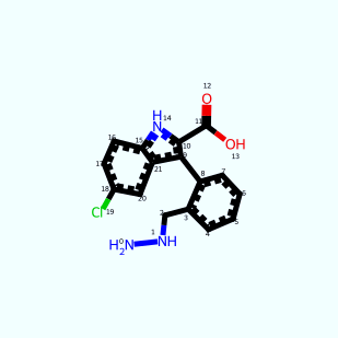 NNCc1ccccc1-c1c(C(=O)O)[nH]c2ccc(Cl)cc12